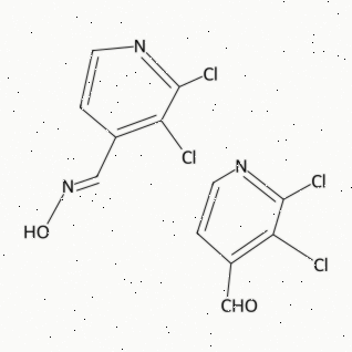 O=Cc1ccnc(Cl)c1Cl.ON=Cc1ccnc(Cl)c1Cl